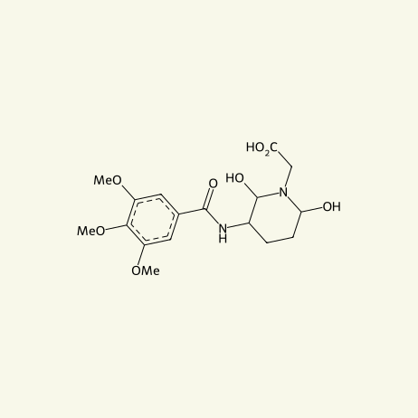 COc1cc(C(=O)NC2CCC(O)N(CC(=O)O)C2O)cc(OC)c1OC